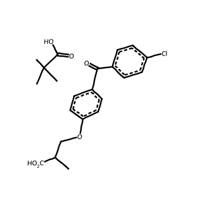 CC(C)(C)C(=O)O.CC(COc1ccc(C(=O)c2ccc(Cl)cc2)cc1)C(=O)O